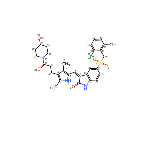 Cc1[nH]c(/C=C2\C(=O)Nc3ccc(S(=O)(=O)Cc4c(Cl)cccc4Cl)cc32)c(C)c1CCC(=O)N1CCC(O)CC1